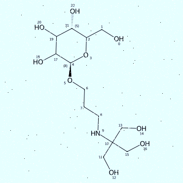 OCC1O[C@@H](OCCCNC(CO)(CO)CO)C(O)C(O)[C@@H]1O